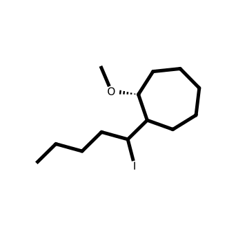 CCCCC(I)C1CCCCC[C@H]1OC